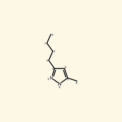 CCCCC1=N[N]C(C)=C1